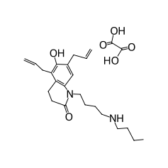 C=CCc1cc2c(c(CC=C)c1O)CCC(=O)N2CCCCNCCCC.O=C(O)C(=O)O